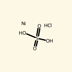 Cl.O=S(=O)(O)O.[Ni]